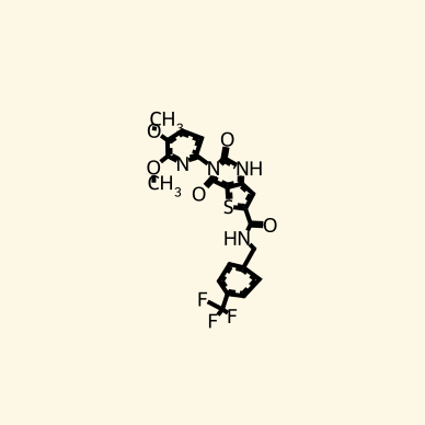 COc1ccc(-n2c(=O)[nH]c3cc(C(=O)NCc4ccc(C(F)(F)F)cc4)sc3c2=O)nc1OC